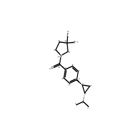 CC(C)[C@H]1C[C@@H]1c1ccc(C(=O)N2CCC(F)(F)C2)cc1